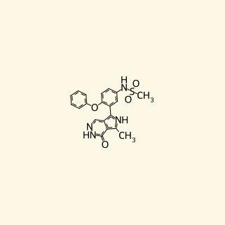 Cc1[nH]c(-c2cc(NS(C)(=O)=O)ccc2Oc2ccccc2)c2cn[nH]c(=O)c12